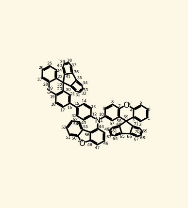 c1ccc2c(c1)Oc1ccc(N(c3ccc(-c4ccc5c(c4)C4(c6ccccc6S5)c5ccccc5-c5ccccc54)cc3)c3cccc4oc5ccccc5c34)cc1C21c2ccccc2-c2ccccc21